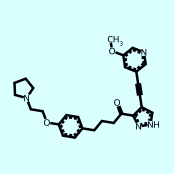 COc1cncc(C#Cc2c[nH]nc2C(=O)CCCc2ccc(OCCN3CCCC3)cc2)c1